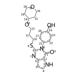 O=c1c2[nH]ccc2nc(SCCCOC2CCOCC2)n1-c1ccc(O)cc1